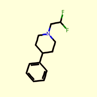 FC(F)CN1CCC(c2ccccc2)CC1